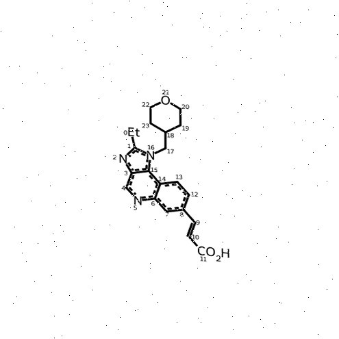 CCc1nc2cnc3cc(C=CC(=O)O)ccc3c2n1CC1CCOCC1